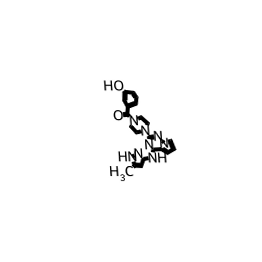 Cc1cc(Nc2nc(N3CCN(C(=O)c4cccc(O)c4)CC3)nn3cccc23)n[nH]1